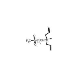 C=CC[N+](C)(CC)CC=C.NS(=O)(=O)C(F)(F)F